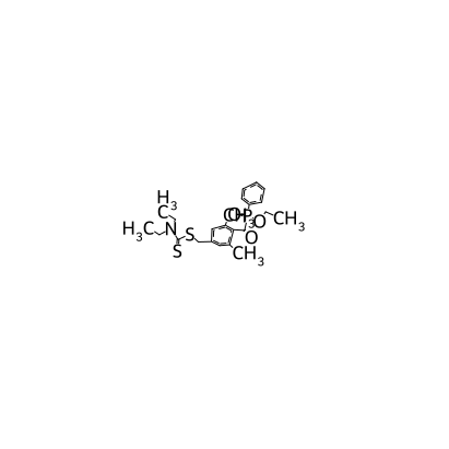 CCOP(=O)(C(=O)c1c(C)cc(CSC(=S)N(CC)CC)cc1C)c1ccccc1